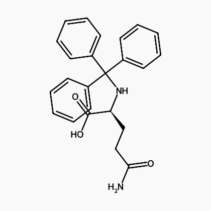 NC(=O)CC[C@H](NC(c1ccccc1)(c1ccccc1)c1ccccc1)C(=O)O